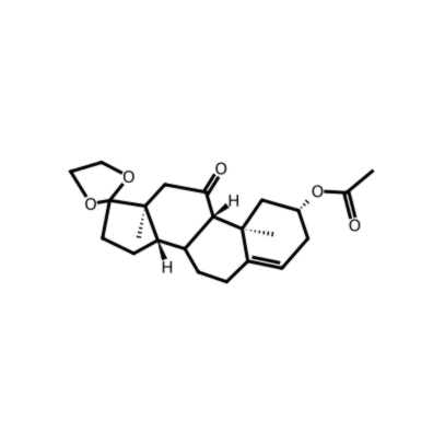 CC(=O)O[C@@H]1CC=C2CCC3[C@H](C(=O)C[C@@]4(C)[C@H]3CCC43OCCO3)[C@@]2(C)C1